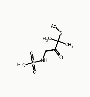 CC(=O)SC(C)(C)C(=O)CNS(C)(=O)=O